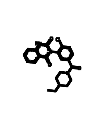 CCC1CCN(C(=O)c2ccc(Cl)c(-n3c(=O)[nH]c4ccccc4c3=O)c2)CC1